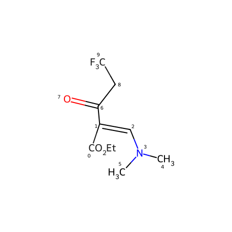 CCOC(=O)/C(=C\N(C)C)C(=O)CC(F)(F)F